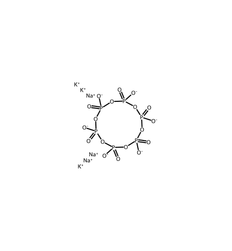 O=P1([O-])OP(=O)([O-])OP(=O)([O-])OP(=O)([O-])OP(=O)([O-])OP(=O)([O-])O1.[K+].[K+].[K+].[Na+].[Na+].[Na+]